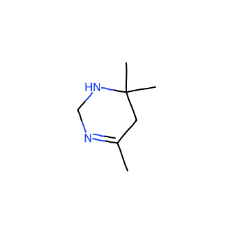 CC1=NCNC(C)(C)C1